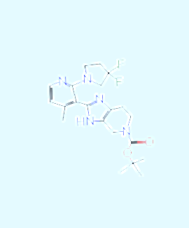 Cc1ccnc(N2CCC(F)(F)C2)c1-c1nc2c([nH]1)CN(C(=O)OC(C)(C)C)CC2